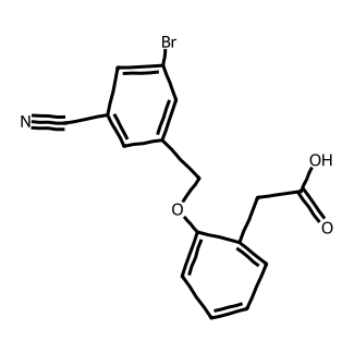 N#Cc1cc(Br)cc(COc2ccccc2CC(=O)O)c1